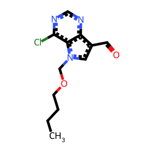 CCCCOCn1cc(C=O)c2ncnc(Cl)c21